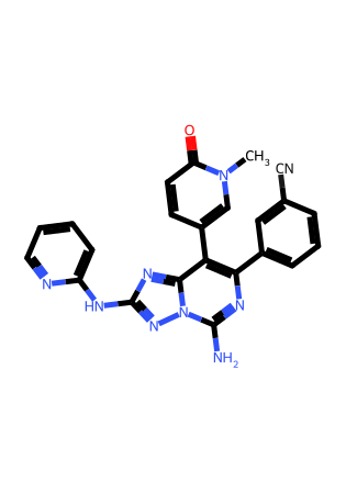 Cn1cc(-c2c(-c3cccc(C#N)c3)nc(N)n3nc(Nc4ccccn4)nc23)ccc1=O